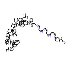 CC/C=C\C/C=C\C/C=C\C/C=C\C/C=C\CCCC(=O)OCC(C)(C)[C@@H](O)C(=O)NCCC(=O)OC1CCN(C(=O)CNC23CC4CC(CC(O)(C4)C2)C3)C1C#N